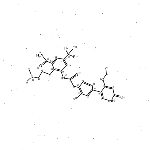 CCOc1cc(=O)[nH]cc1-c1ccc(CC(=O)Nc2cc(C(F)(F)F)cc(C(N)=O)c2CCCN(C)C)c(F)c1